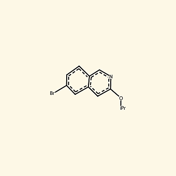 CC(C)Oc1cc2cc(Br)ccc2cn1